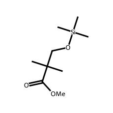 COC(=O)C(C)(C)CO[Si](C)(C)C